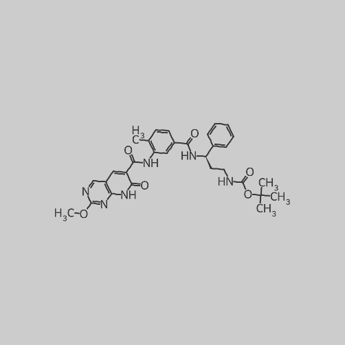 COc1ncc2cc(C(=O)Nc3cc(C(=O)N[C@H](CCNC(=O)OC(C)(C)C)c4ccccc4)ccc3C)c(=O)[nH]c2n1